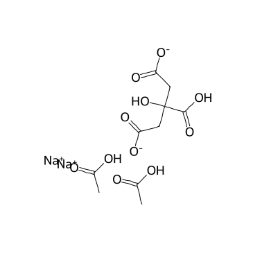 CC(=O)O.CC(=O)O.O=C([O-])CC(O)(CC(=O)[O-])C(=O)O.[Na+].[Na+]